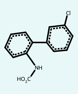 O=C(O)Nc1ccccc1-c1cccc(Cl)c1